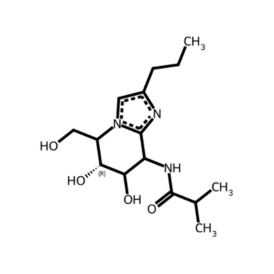 CCCc1cn2c(n1)C(NC(=O)C(C)C)C(O)[C@H](O)C2CO